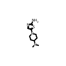 CN(C)C1CCN(c2cnc(N)s2)CC1